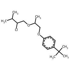 CC(COc1ccc(C(C)(C)C)cc1)OCC(Cl)C(C)C